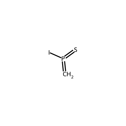 C=P(=S)I